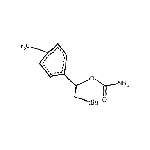 CC(C)(C)CC(OC(N)=O)c1ccc(C(F)(F)F)cc1